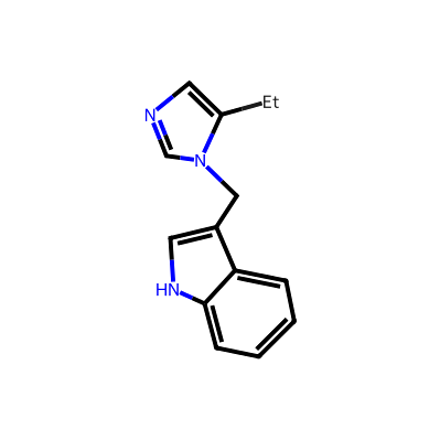 CCc1cncn1Cc1c[nH]c2ccccc12